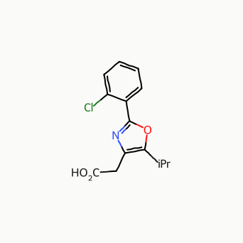 CC(C)c1oc(-c2ccccc2Cl)nc1CC(=O)O